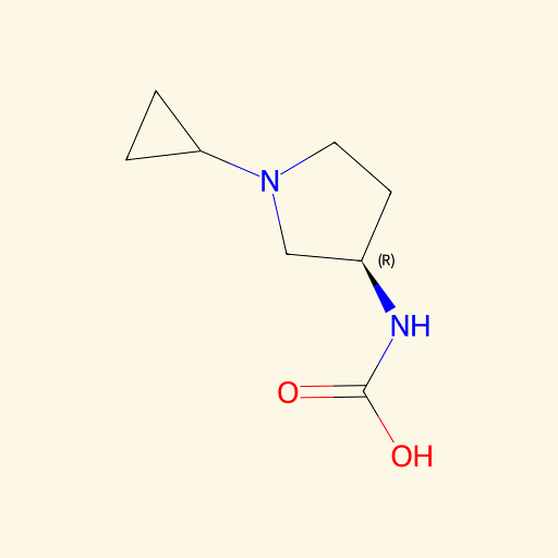 O=C(O)N[C@@H]1CCN(C2CC2)C1